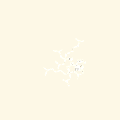 CC(C)CCCCC(CC(C)C)(CC(C)C)ON(OC(CCCCC(C)C)(CC(C)C)CC(C)C)P(N)(N)=O